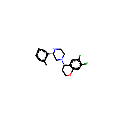 Cc1ccccc1[C@@H]1CN([C@@H]2CCOc3cc(F)c(F)cc32)CCN1